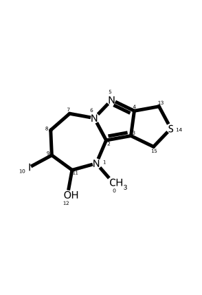 CN1c2c3c(nn2CCC(I)C1O)CSC3